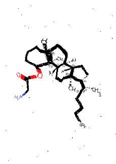 CC(C)CCC[C@@H](C)[C@H]1CC[C@H]2[C@@H]3CC[C@H]4CCCC(OC(=O)CN)[C@]4(C)[C@H]3CC[C@]12C